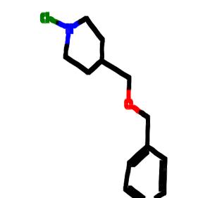 ClN1CCC(COCc2ccccc2)CC1